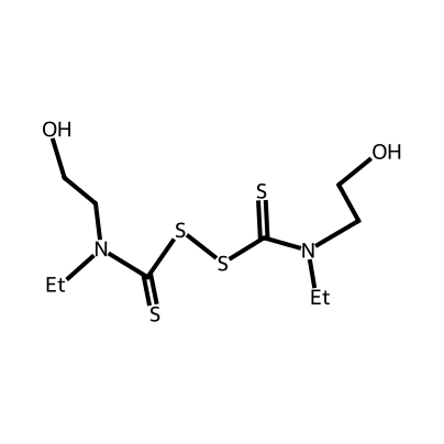 CCN(CCO)C(=S)SSC(=S)N(CC)CCO